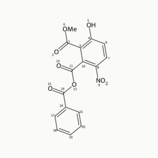 COC(=O)c1c(O)ccc([N+](=O)[O-])c1C(=O)OC(=O)c1ccccc1